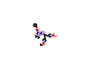 CC(C)C(NC(=O)[C@H](CC(=O)OCc1ccccc1)NC(=O)CNC(=O)C(CCC1CCN(C(=O)O)CC1)CCC1CCN(C(=O)OC(C)(C)C)CC1)C(C)C